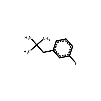 CC(C)(N)Cc1cccc(F)c1